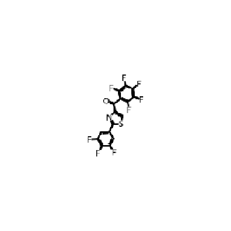 O=C(c1csc(-c2cc(F)c(F)c(F)c2)n1)c1c(F)c(F)c(F)c(F)c1F